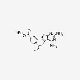 CC=C(Cn1ccc2nc(N)nc(N)c21)c1ccc(C(=O)OC(C)(C)C)cc1